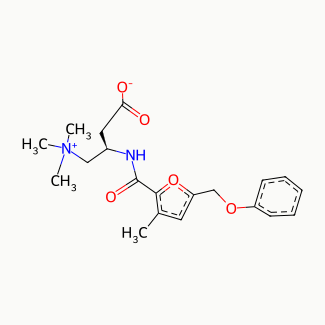 Cc1cc(COc2ccccc2)oc1C(=O)N[C@H](CC(=O)[O-])C[N+](C)(C)C